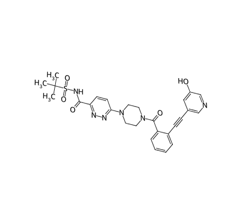 CC(C)(C)S(=O)(=O)NC(=O)c1ccc(N2CCN(C(=O)c3ccccc3C#Cc3cncc(O)c3)CC2)nn1